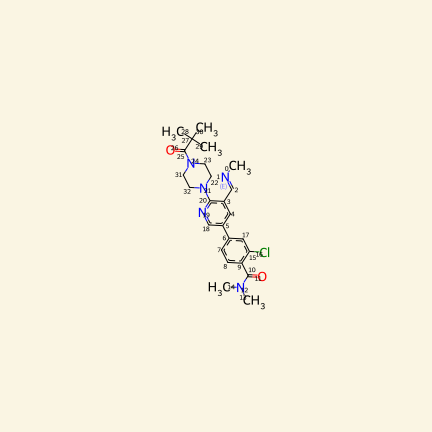 C/N=C/c1cc(-c2ccc(C(=O)N(C)C)c(Cl)c2)cnc1N1CCN(C(=O)C(C)(C)C)CC1